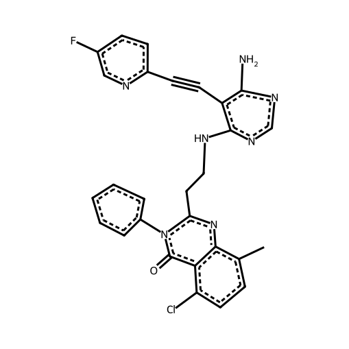 Cc1ccc(Cl)c2c(=O)n(-c3ccccc3)c(CCNc3ncnc(N)c3C#Cc3ccc(F)cn3)nc12